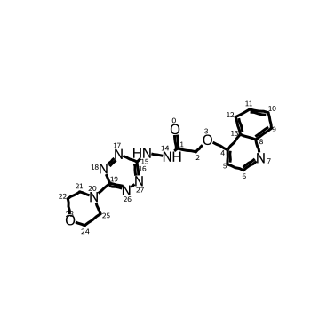 O=C(COc1ccnc2ccccc12)NNc1nnc(N2CCOCC2)nn1